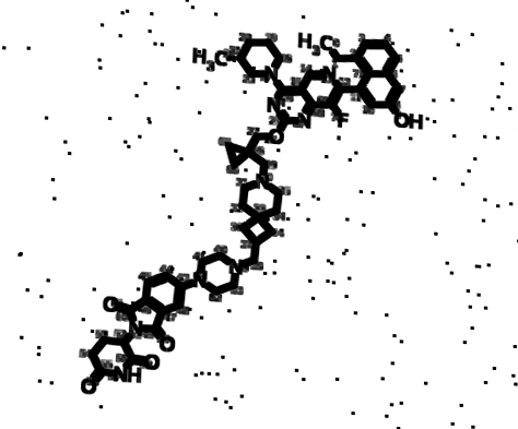 CCc1cccc2cc(O)cc(-c3ncc4c(N5CCC[C@H](C)C5)nc(OCC5(CN6CCC7(CC6)CC(CN6CCN(c8ccc9c(c8)C(=O)N(C8CCC(=O)NC8=O)C9=O)CC6)C7)CC5)nc4c3F)c12